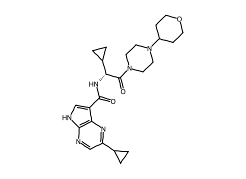 O=C(N[C@@H](C(=O)N1CCN(C2CCOCC2)CC1)C1CC1)c1c[nH]c2ncc(C3CC3)nc12